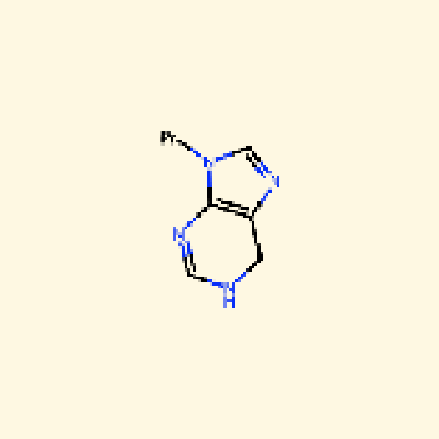 CC(C)n1cnc2c1N=CNC2